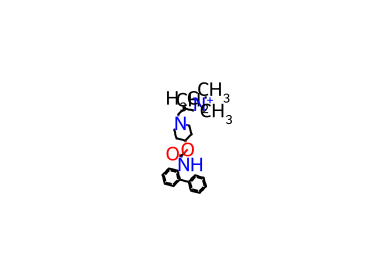 C=C(CN1CCC(OC(=O)Nc2ccccc2-c2ccccc2)CC1)C[N+](C)(C)CC